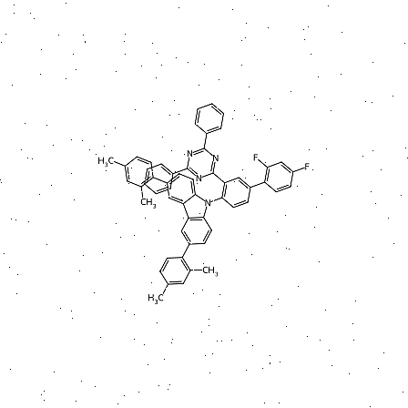 Cc1ccc(-c2ccc3c(c2)c2cc(-c4ccc(C)cc4C)ccc2n3-c2ccc(-c3ccc(F)cc3F)cc2-c2nc(-c3ccccc3)nc(-c3ccccc3)n2)c(C)c1